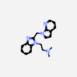 CN(C)CCn1c(Cn2ccc3cccnc32)nc2ccccc21